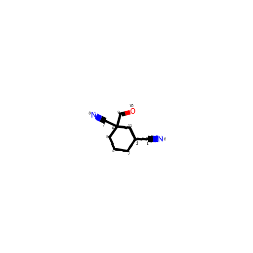 N#CC1CCCC(C#N)(C=O)C1